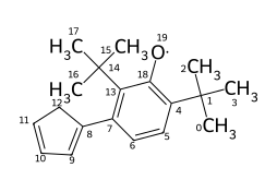 CC(C)(C)c1ccc(C2=CC=CC2)c(C(C)(C)C)c1[O]